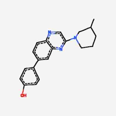 CC1CCCN(c2cnc3ccc(-c4ccc(O)cc4)cc3n2)C1